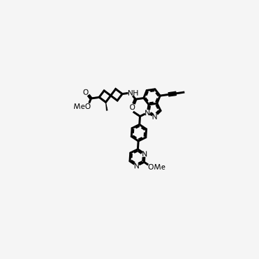 CC#Cc1ccc(C(=O)NC2CC3(C2)CC(C(=O)OC)[C@@H]3C)c2c1cnn2C(C)c1ccc(-c2ccnc(OC)n2)cc1